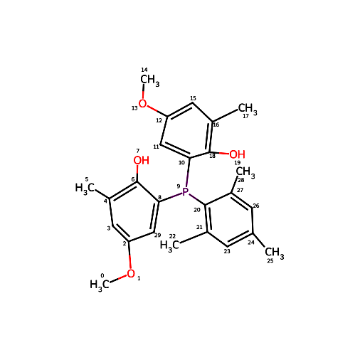 COc1cc(C)c(O)c(P(c2cc(OC)cc(C)c2O)c2c(C)cc(C)cc2C)c1